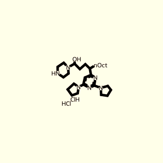 CCCCCCCCC(CCC(O)N1CCNCC1)c1cc(N2CCCC2)nc(N2CCCC2)n1.Cl.Cl